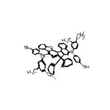 Cc1cc(C)cc(N(c2ccc(C(C)(C)C)cc2)c2cc3c(c4oc5ccccc5c24)-c2c(cc(N(c4ccc(C(C)(C)C)cc4)c4ccc(C)c(C)c4)c4ccccc24)C3(c2ccccc2)c2ccccc2)c1